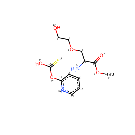 CC(C)(C)OC(=O)C(N)COCCO.OC(=S)Oc1ccccn1